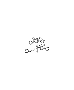 CC(C)(C)OC(=O)N1CCN(c2ccccc2)C(=O)C1(C)C.CC1(C)C(=O)N(c2ccccc2)CCN1C(=O)NCCCCc1ccccc1